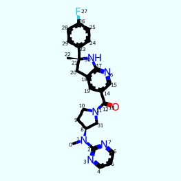 CN(c1ncccn1)[C@H]1CCN(C(=O)c2cnc3c(c2)C[C@](C)(c2ccc(F)cc2)N3)C1